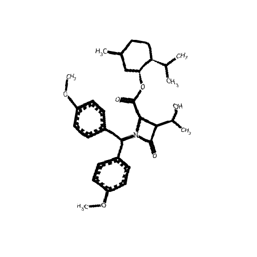 COc1ccc(C(c2ccc(OC)cc2)N2C(=O)C(C(C)O)C2C(=O)O[C@H]2CC(C)CC[C@H]2C(C)C)cc1